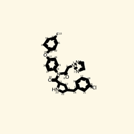 O=C(Cn1nccn1)N(C(=O)C1CC(Cc2cccc(Cl)c2)CN1)c1ccc(Oc2ccc(F)cc2)cc1